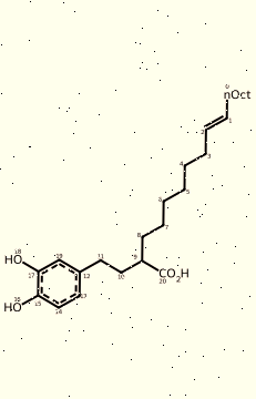 CCCCCCCCC=CCCCCCCC(CCc1ccc(O)c(O)c1)C(=O)O